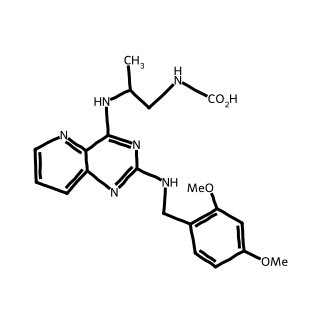 COc1ccc(CNc2nc(NC(C)CNC(=O)O)c3ncccc3n2)c(OC)c1